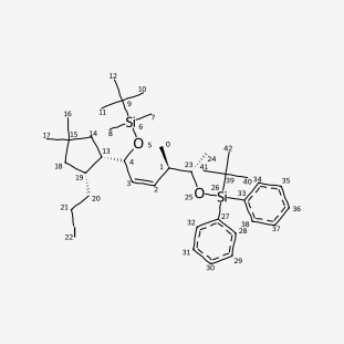 C[C@H](/C=C\C(O[Si](C)(C)C(C)(C)C)[C@H]1CC(C)(C)C[C@H]1CCI)[C@H](C)O[Si](c1ccccc1)(c1ccccc1)C(C)(C)C